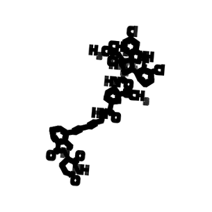 COc1cc(C(=O)NCC#CC#Cc2cccc3c2CN(C2CCC(=O)NC2=O)C3=O)ccc1NC(=O)[C@@H]1N[C@@H](CC(C)(C)C)[C@@]2(CNc3cc(Cl)ccc32)[C@H]1c1cccc(Cl)c1F